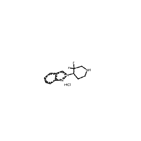 Cl.FC1(F)CNCCC1n1cc2ccccc2n1